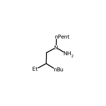 CCCCCN(N)CC(CC)CCCC